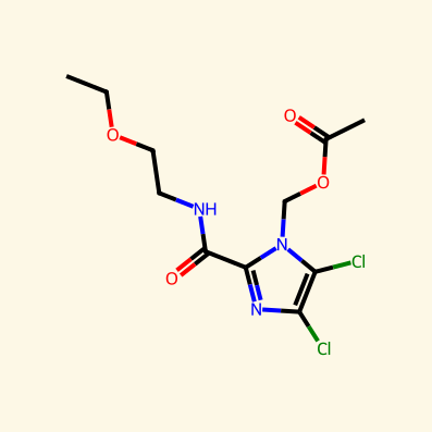 CCOCCNC(=O)c1nc(Cl)c(Cl)n1COC(C)=O